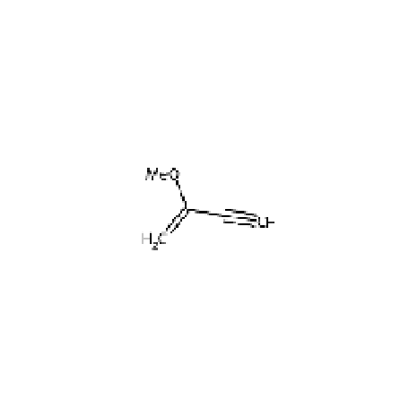 C#CC(=C)OC